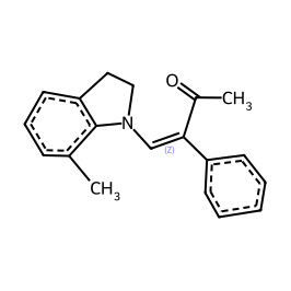 CC(=O)/C(=C\N1CCc2cccc(C)c21)c1ccccc1